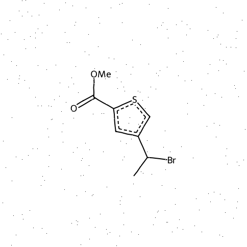 COC(=O)c1cc(C(C)Br)cs1